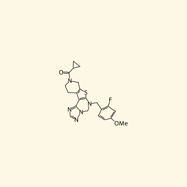 COc1ccc(CN2Cn3ncnc3-c3c2sc2c3CCN(C(=O)C3CC3)C2)c(F)c1